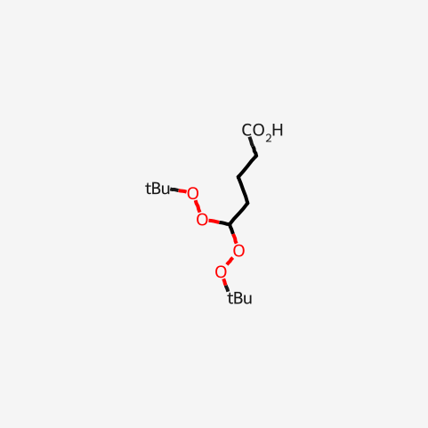 CC(C)(C)OOC(CCCC(=O)O)OOC(C)(C)C